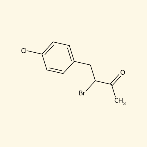 CC(=O)C(Br)Cc1ccc(Cl)cc1